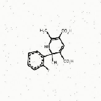 CC1=C(C(=O)O)C=C(C(=O)O)C(C)(c2ccccc2F)N1